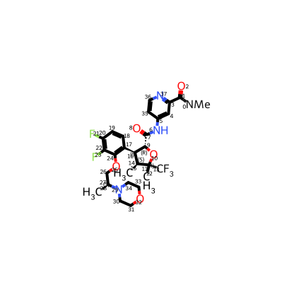 CNC(=O)c1cc(NC(=O)[C@@H]2O[C@@](C)(C(F)(F)F)[C@@H](C)[C@H]2c2ccc(F)c(F)c2OC[C@H](C)N2CCOCC2)ccn1